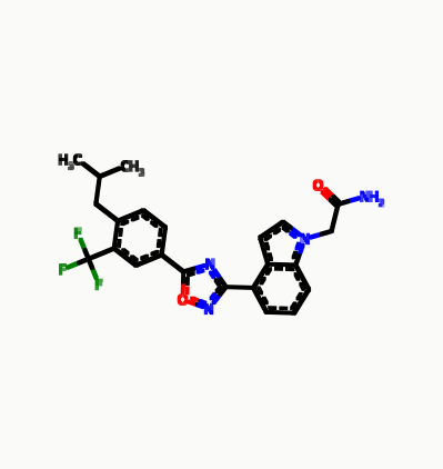 CC(C)Cc1ccc(-c2nc(-c3cccc4c3ccn4CC(N)=O)no2)cc1C(F)(F)F